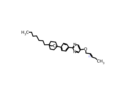 CC/C=C/COc1cnc(-c2ccc(C34CCC(CCCCCCC)(CC3)CC4)cc2)nc1